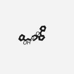 OC(CCN1CCC2(CC1)OC(c1ccccc1)c1ccccc12)c1ccccc1